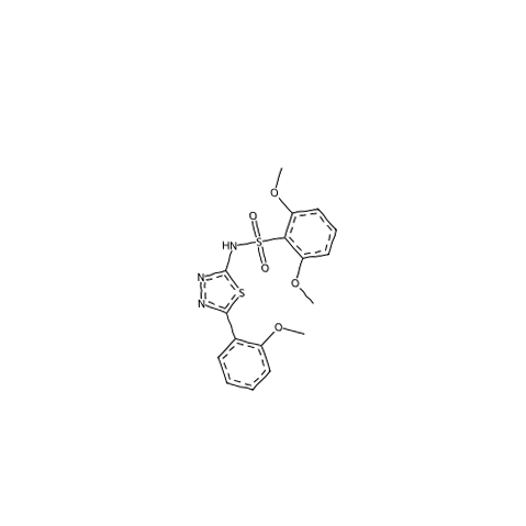 COc1ccccc1-c1nnc(NS(=O)(=O)c2c(OC)cccc2OC)s1